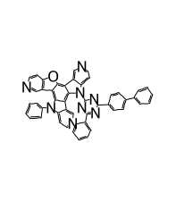 c1ccc(-c2ccc(-c3nc(-c4ccccc4)nc(-n4c5ccncc5c5c6oc7ccncc7c6c6c(c7cnccc7n6-c6ccccc6)c54)n3)cc2)cc1